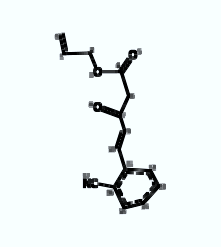 C=CCOC(=O)CC(=O)C=Cc1ccccc1C#N